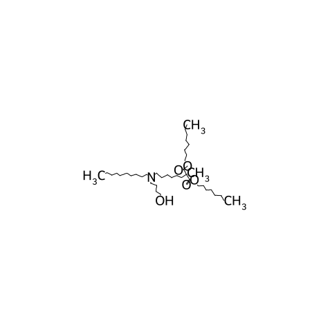 CCCCCCCCCCN(CCCCO)CCCCCCC(C)(C(=O)OCCCCCCCC)C(=O)OCCCCCCCC